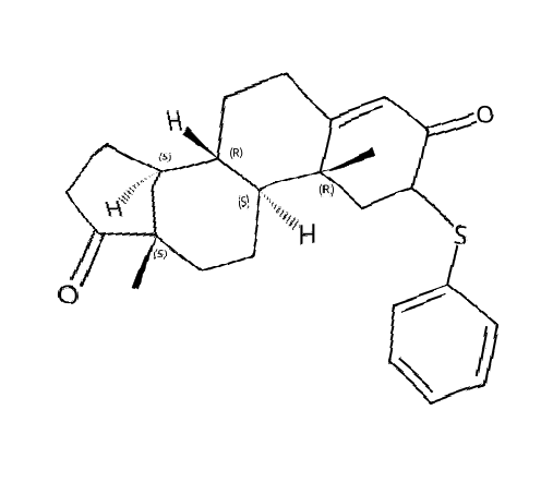 C[C@]12CC(Sc3ccccc3)C(=O)C=C1CC[C@@H]1[C@@H]2CC[C@]2(C)C(=O)CC[C@@H]12